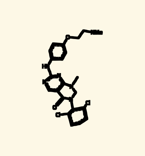 CNCCOc1ccc(Nc2ncc3c(n2)N(C)CN(c2c(Cl)cccc2Cl)C3=O)cc1